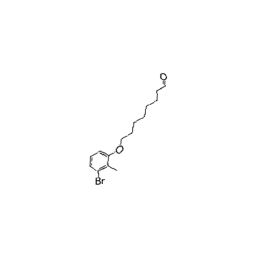 Cc1c(Br)cccc1OCCCCCCCC=O